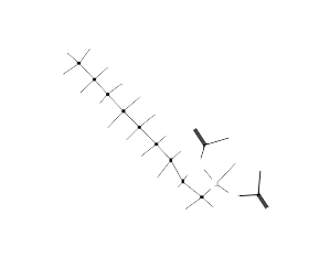 C=C(C)O[Si](C)(OC(=C)C)C(F)(F)C(F)(F)C(F)(F)C(F)(F)C(F)(F)C(F)(F)C(F)(F)C(F)(F)C(F)(F)C(F)(F)F